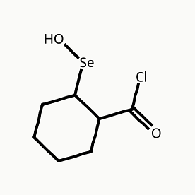 O=C(Cl)C1CCCCC1[Se]O